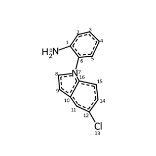 Nc1ccccc1-n1ccc2cc(Cl)ccc21